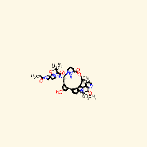 C=CC(=O)N1CC2(CCN(C(C(=O)N[C@H]3Cc4cc(O)cc(c4)-c4ccc5c(c4)c(c(-c4cccnc4[C@H](C)OC)n5CC)CC(C)(C)COC(=O)[C@@H]4CCCN(N4)C3=O)C(C)C)C2=O)C1